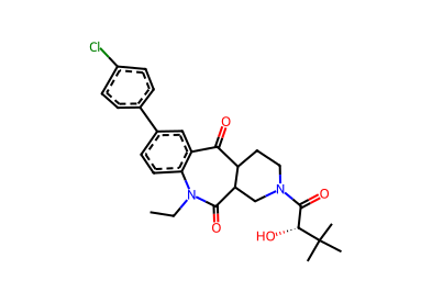 CCN1C(=O)C2CN(C(=O)[C@@H](O)C(C)(C)C)CCC2C(=O)c2cc(-c3ccc(Cl)cc3)ccc21